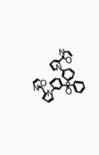 O=P(c1ccccc1)(c1cccc(-n2cccc2-c2ncco2)c1)c1cccc(-n2cccc2-c2ncco2)c1